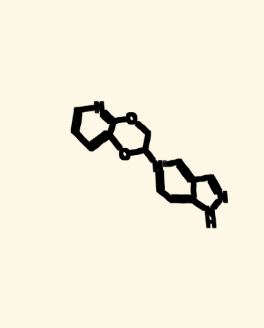 c1cnc2c(c1)OC([n+]1ccc3[nH]ncc3c1)CO2